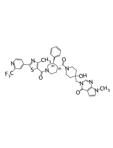 Cc1nc(-c2ccnc(C(F)(F)F)c2)sc1C(=O)N1CC[C@@H](C(=O)N2CCC(O)(Cn3cnc4c(ccn4C)c3=O)CC2)[C@H](c2ccccc2)C1